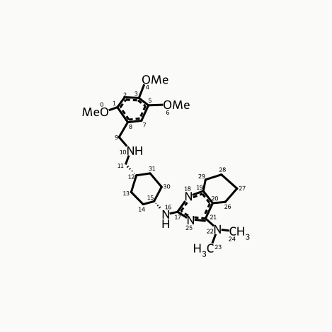 COc1cc(OC)c(OC)cc1CNC[C@H]1CC[C@@H](Nc2nc3c(c(N(C)C)n2)CCCC3)CC1